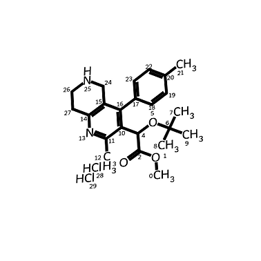 COC(=O)C(OC(C)(C)C)c1c(C)nc2c(c1-c1ccc(C)cc1)CNCC2.Cl.Cl